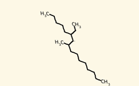 CCCCCCCCC(C)[CH]C(CC)CCCCC